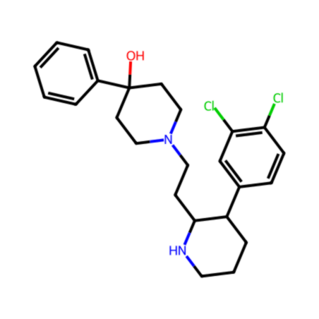 OC1(c2ccccc2)CCN(CCC2NCCCC2c2ccc(Cl)c(Cl)c2)CC1